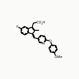 COc1ccc(Oc2ccc(/C=C3\C(C)=C(CC(=O)O)c4cc(F)ccc43)cn2)cc1